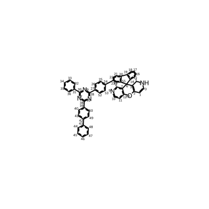 C1=CC2=C(CN1)C1(c3cnccc3O2)c2ccccc2-c2ccc(-c3ccc(-c4nc(-c5ccccc5)nc(-c5ccc(-c6ccccc6)cc5)n4)cc3)cc21